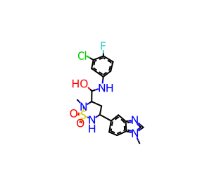 CN1C(C(O)Nc2ccc(F)c(Cl)c2)CC(c2ccc3c(c2)ncn3C)NS1(=O)=O